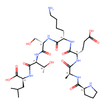 CC(C)C[C@H](NC(=O)[C@@H](NC(=O)[C@H](CO)NC(=O)[C@H](CCCCN)NC(=O)[C@H](CCC(=O)O)NC(=O)[C@H](C)NC(=O)[C@@H]1CCCN1)[C@@H](C)O)C(=O)O